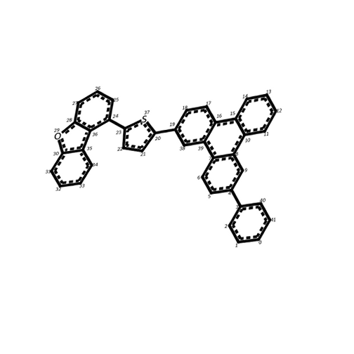 c1ccc(-c2ccc3c(c2)c2ccccc2c2ccc(-c4ccc(-c5cccc6oc7ccccc7c56)s4)cc23)cc1